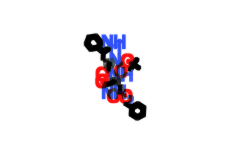 CC(C)(C)OC(=O)N[C@@H](Cc1c[nH]c2ccccc12)C(=O)N[C@H](CC(=O)OCc1ccccc1)C(N)=O